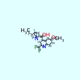 CCC1CN2CCC1CC2[C@H](O)c1cc(C(F)F)nc2ccc(OC)cc12